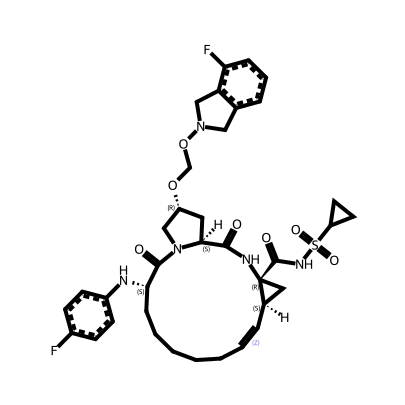 O=C1N[C@]2(C(=O)NS(=O)(=O)C3CC3)C[C@H]2/C=C\CCCCC[C@H](Nc2ccc(F)cc2)C(=O)N2C[C@H](OCON3Cc4cccc(F)c4C3)C[C@@H]12